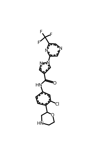 O=C(Nc1ccc(C2CNCCO2)c(Cl)c1)c1cnn(-c2cncc(C(F)(F)F)n2)c1